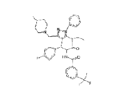 CCN1C(=O)C(NC(=O)c2cccc(C(F)(F)F)c2)C(c2ccc(F)cc2)c2c(CN3CCC(C)CC3)nn(-c3ccccc3)c21